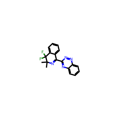 CC1(C)N=C(c2nnc3ccccc3n2)c2ccccc2C1(F)F